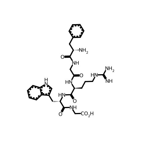 N=C(N)NCCC[C@H](NC(=O)CNC(=O)[C@@H](N)Cc1ccccc1)C(=O)N[C@@H](Cc1c[nH]c2ccccc12)C(=O)NCC(=O)O